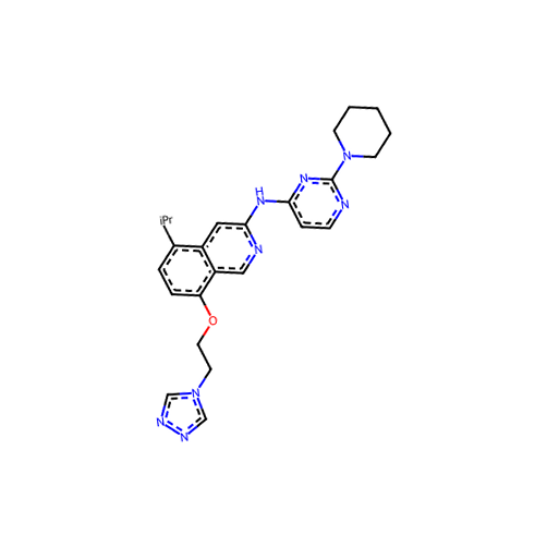 CC(C)c1ccc(OCCn2cnnc2)c2cnc(Nc3ccnc(N4CCCCC4)n3)cc12